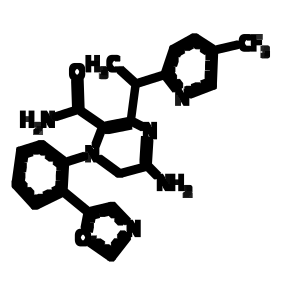 CC(C1=C(C(N)=O)N(c2ccccc2-c2cnco2)CC(N)=N1)c1ccc(C(F)(F)F)cn1